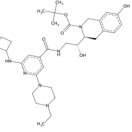 CCN1CCN(c2cc(C(=O)NC[C@@H](O)[C@@H]3Cc4ccc(O)cc4CN3C(=O)OC(C)(C)C)cc(NC3CCC3)n2)CC1